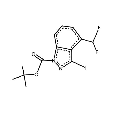 CC(C)(C)OC(=O)n1nc(I)c2c(C(F)F)cccc21